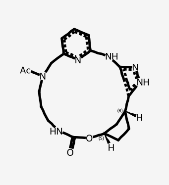 CC(=O)N1CCCNC(=O)O[C@H]2CC[C@H](C2)c2cc(n[nH]2)Nc2cccc(n2)C1